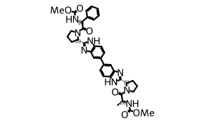 COC(=O)N[C@@H](C)C(=O)N1CCC[C@H]1c1nc2cc(-c3ccc4[nH]c([C@@H]5CCCN5C(=O)[C@H](NC(=O)OC)c5ccccc5)nc4c3)ccc2[nH]1